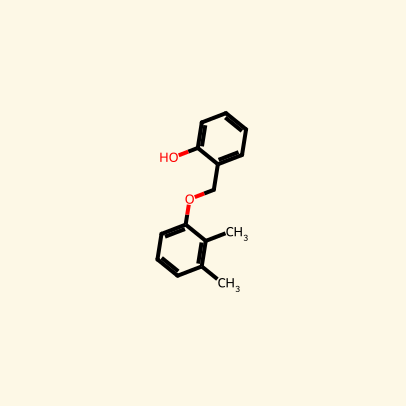 Cc1cccc(OCc2ccccc2O)c1C